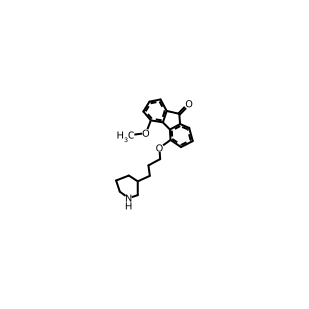 COc1cccc2c1-c1c(OCCCC3CCCNC3)cccc1C2=O